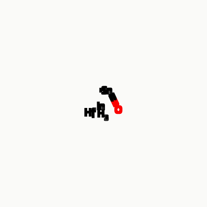 [Hf].[InH3].[O]=[Sn]